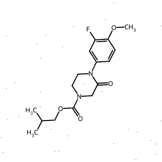 COc1ccc(N2CCN(C(=O)OCC(C)C)CC2=O)cc1F